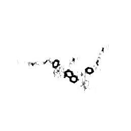 O=S(=O)(O)CNc1ccc2c(O)c(/N=N/c3ccc(S(=O)(=O)CCOSOOO)cc3S(=O)(=O)O)c(SOOO)cc2c1/N=N/c1ccc(S(=O)(=O)CCOSOOO)cc1